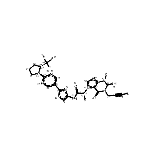 CC#CCN1C(=O)c2c(ncn2[C@@H](C)C(=O)Nc2csc(-c3cnc(N4CCC[C@H]4C(F)(F)F)nc3)n2)N(C)C1O